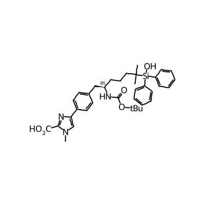 Cn1cc(-c2ccc(C[C@@H](CCCC(C)(C)[Si](O)(c3ccccc3)c3ccccc3)NC(=O)OC(C)(C)C)cc2)nc1C(=O)O